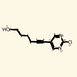 OCCCCC#Cc1cnc(Cl)nc1